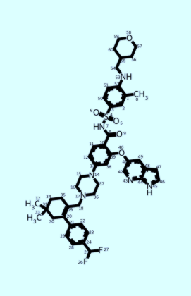 Cc1cc(S(=O)(=O)NC(=O)c2ccc(N3CCN(CC4=C(c5ccc(C(F)F)cc5)CC(C)(C)CC4)CC3)cc2Oc2cnc3[nH]ccc3c2)ccc1NCC1CCOCC1